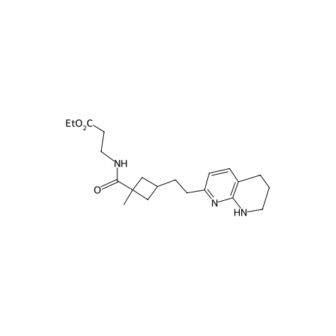 CCOC(=O)CCNC(=O)C1(C)CC(CCc2ccc3c(n2)NCCC3)C1